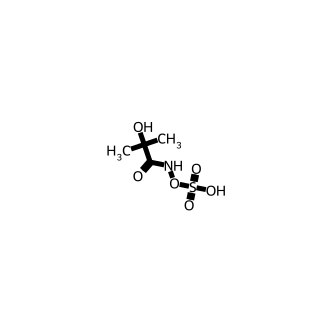 CC(C)(O)C(=O)NOS(=O)(=O)O